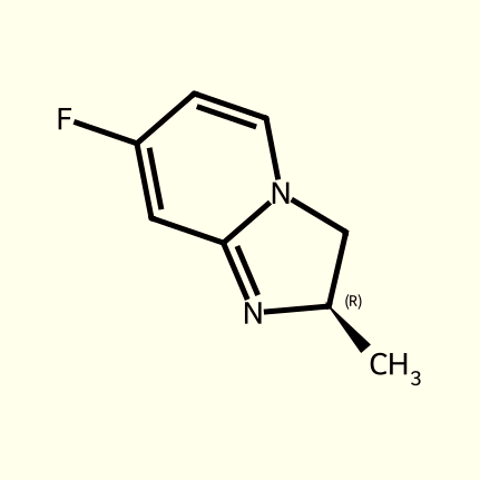 C[C@@H]1CN2C=CC(F)=CC2=N1